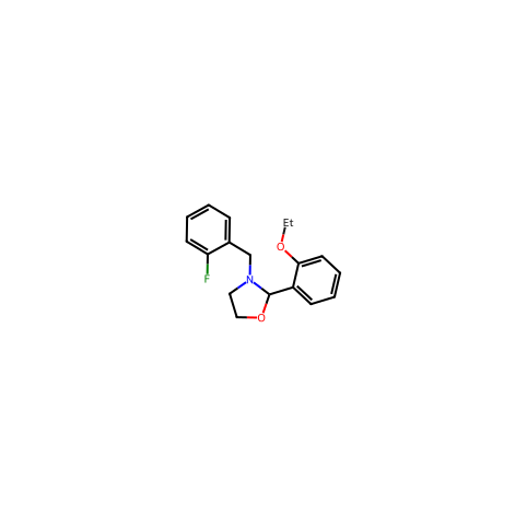 CCOc1ccccc1C1OCCN1Cc1ccccc1F